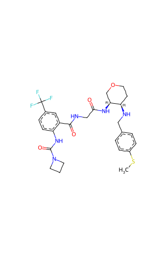 CSc1ccc(CN[C@@H]2CCOC[C@@H]2NC(=O)CNC(=O)c2cc(C(F)(F)F)ccc2NC(=O)N2CCC2)cc1